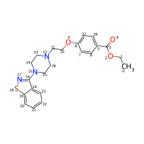 CCOC(=O)c1ccc(OCCN2CCN(c3nsc4ccccc34)CC2)cc1